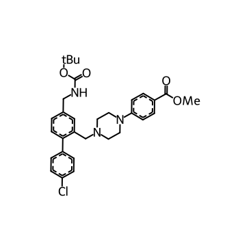 COC(=O)c1ccc(N2CCN(Cc3cc(CNC(=O)OC(C)(C)C)ccc3-c3ccc(Cl)cc3)CC2)cc1